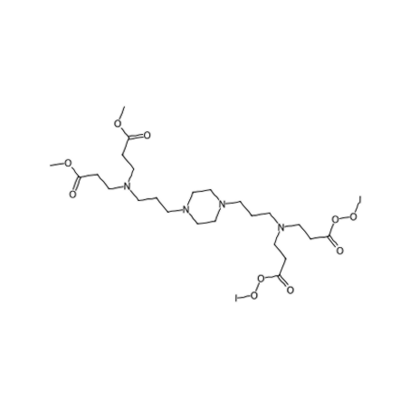 COC(=O)CCN(CCCN1CCN(CCCN(CCC(=O)OOI)CCC(=O)OOI)CC1)CCC(=O)OC